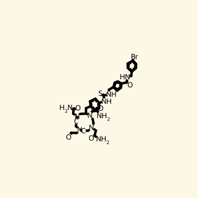 NC(=O)CN1CCN(CC=O)CCN(CC(N)=O)CC(Cc2ccc(NC(=S)NCc3ccc(C(=O)NCc4ccc(Br)cc4)cc3)cc2)N(CC(N)=O)CC1